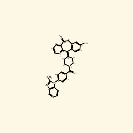 Cc1nc2cnccc2n1-c1ccc(C(=O)N2CCC(=C3c4ccc(Cl)cc4CC(=O)c4cccnc43)CC2)cc1